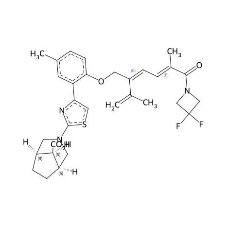 C=C(C)/C(=C\C=C(/C)C(=O)N1CC(F)(F)C1)COc1ccc(C)cc1-c1csc(N2C[C@H]3CC[C@@H](C2)[C@H]3C(=O)O)n1